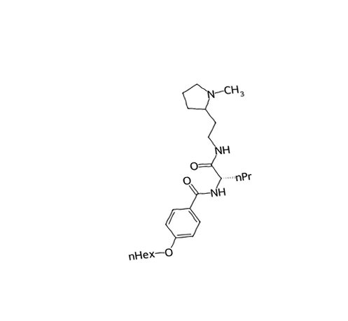 CCCCCCOc1ccc(C(=O)N[C@@H](CCC)C(=O)NCCC2CCCN2C)cc1